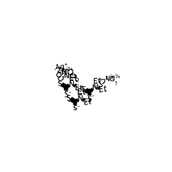 CCN(CC)C(=S)[S-].CCN(CC)C(=S)[S-].CCN(CC)C(=S)[S-].O=[N+]([O-])[O-].O=[N+]([O-])[O-].O=[N+]([O-])[O-].[Ag+].[In+3].[Zn+2]